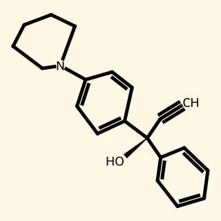 C#C[C@](O)(c1ccccc1)c1ccc(N2CCCCC2)cc1